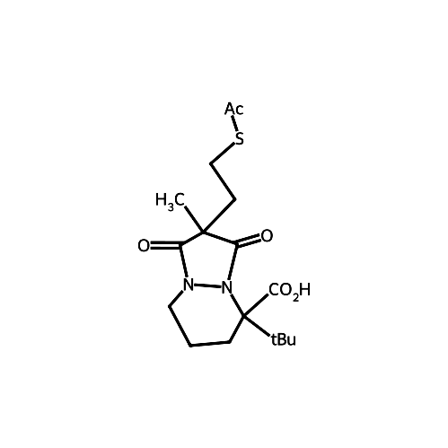 CC(=O)SCCC1(C)C(=O)N2CCCC(C(=O)O)(C(C)(C)C)N2C1=O